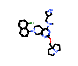 CN(CC1CNC1)c1nc(OCC23CCCN2CCC3)nc2c1CCN(c1cccc3cccc(Cl)c13)C2